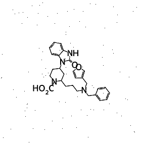 O=C(O)N1CCC(n2c(=O)[nH]c3ccccc32)CC1CCCN(Cc1ccccc1)Cc1ccoc1